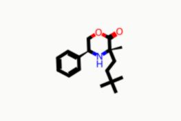 CC(C)(C)CC[C@]1(C)N[C@@H](c2ccccc2)COC1=O